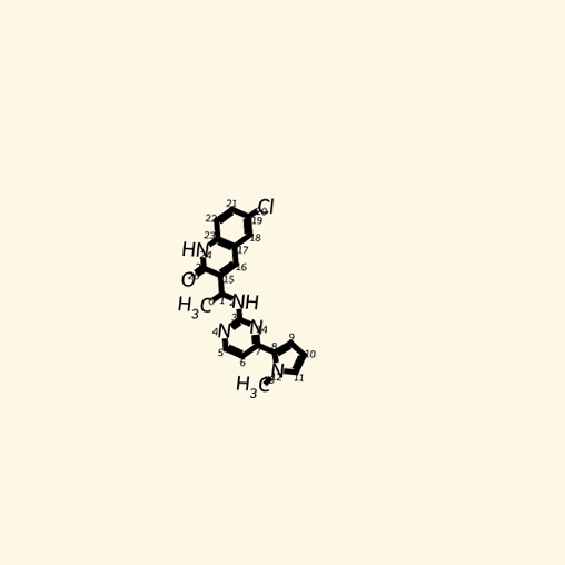 CC(Nc1nccc(-c2cccn2C)n1)c1cc2cc(Cl)ccc2[nH]c1=O